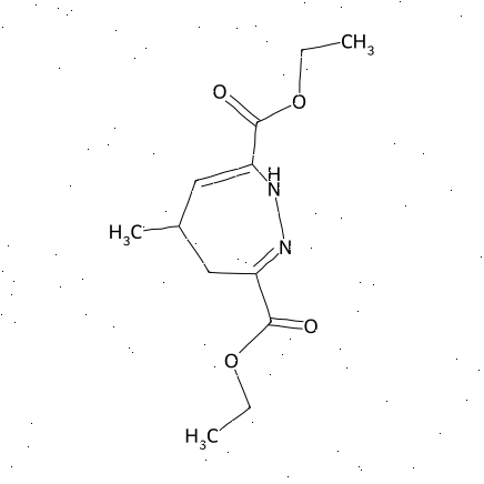 CCOC(=O)C1=CC(C)CC(C(=O)OCC)=NN1